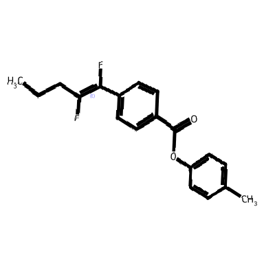 CCC/C(F)=C(\F)c1ccc(C(=O)Oc2ccc(C)cc2)cc1